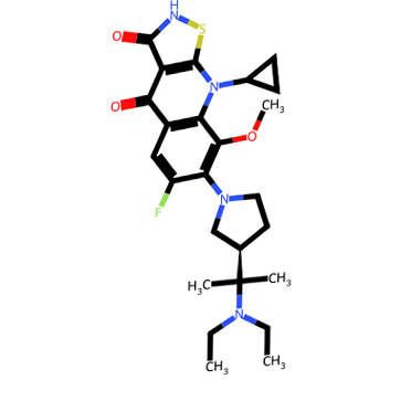 CCN(CC)C(C)(C)[C@@H]1CCN(c2c(F)cc3c(=O)c4c(=O)[nH]sc4n(C4CC4)c3c2OC)C1